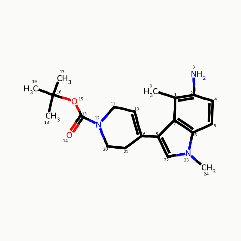 Cc1c(N)ccc2c1c(C1=CCN(C(=O)OC(C)(C)C)CC1)cn2C